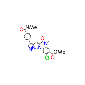 CNC(=O)c1ccc(-c2cnn3cnc(C(=O)N(C)c4ccc(Cl)c(C(=O)OC)c4)cc23)cc1